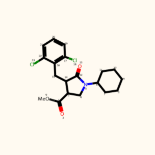 COC(=O)C1CN(C2CCCCC2)C(=O)C1Cc1c(Cl)cccc1Cl